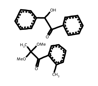 COC(C)(OC)C(=O)c1ccccc1C.O=C(c1ccccc1)C(O)c1ccccc1